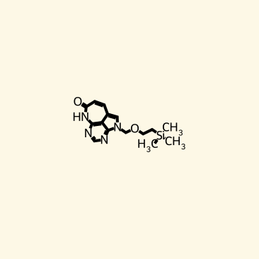 C[Si](C)(C)CCOCn1cc2c3c(ncnc31)NC(=O)C=C2